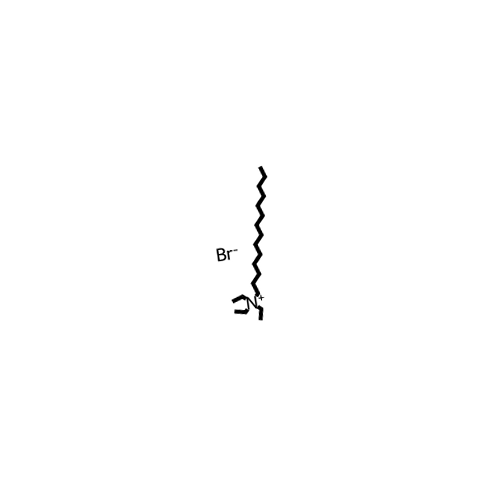 CCCCCCCCCCCCCC[N+](CC)(CC)CC.[Br-]